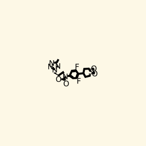 Cc1nnn(C[C@H]2CN(c3cc(F)c(C4CCS(=O)(=O)CC4)c(F)c3)C(=O)O2)n1